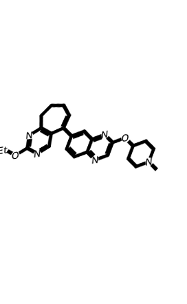 CCOc1ncc2c(n1)CCCC=C2c1ccc2ncc(OC3CCN(C)CC3)nc2c1